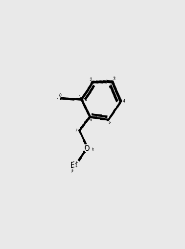 [CH2]c1ccccc1COCC